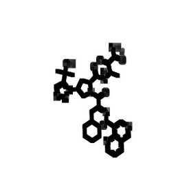 CC(NC(=O)[C@@H]1C[C@H](n2nncc2C(C)(C)O)CN1C(=O)/C(CC1CCCCC1)=N/C(=O)c1cncc2cccnc12)C(=O)C(N)=O